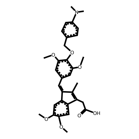 COc1cc2c(cc1OC)C(CC(=O)O)=C(C)C2=Cc1cc(OC)c(OCc2ccc(N(C)C)cc2)c(OC)c1